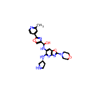 Cc1cc(-c2nc(C(O)Nc3cc4oc(N5CCOCC5)nc4nc3N[C@H]3CCNC3)co2)ccn1